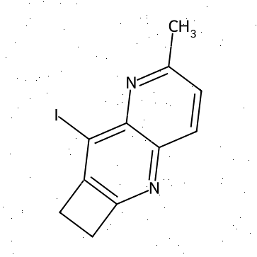 Cc1ccc2nc3c(c(I)c2n1)CC3